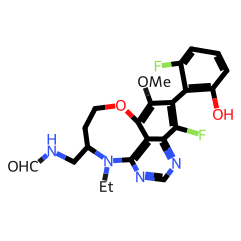 CCN1c2ncnc3c(F)c(-c4c(O)cccc4F)c(OC)c(c23)OCCC1CNC=O